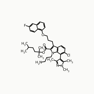 Cc1nn(C)c(C)c1-c1c(Cl)ccc2c(CCCOc3cccc4cc(F)ccc34)c(C(=O)OC(C)(C)CCC(C)C)n(CCCN)c12